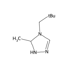 CC1NN=CN1CC(C)(C)C